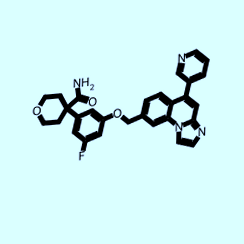 NC(=O)C1(c2cc(F)cc(OCc3ccc4c(-c5cccnc5)cc5nccn5c4c3)c2)CCOCC1